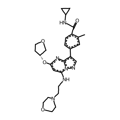 Cc1cc(-c2cnn3c(NCCN4CCOCC4)cc(O[C@@H]4CCOC4)nc23)ccc1C(=O)NC1CC1